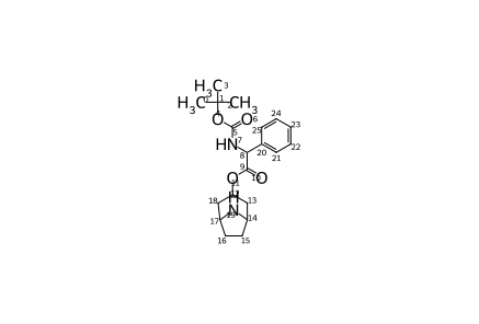 CC(C)(C)OC(=O)NC(C(=O)OC1CC2CCC(C1)N2)c1ccccc1